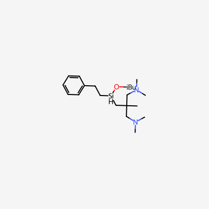 CCC(C)O[SiH](CCc1ccccc1)CC(C)(CN(C)C)CN(C)C